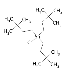 CC(C)(C)C[CH2][Sn]([Cl])([CH2]CC(C)(C)C)[CH2]CC(C)(C)C